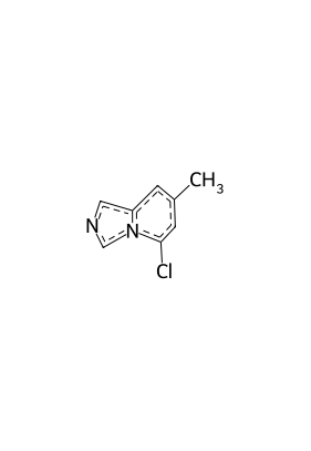 Cc1cc(Cl)n2cncc2c1